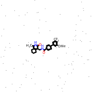 COc1cc(-c2ccc(C(=O)NCc3c4c(c(C)[nH]c3=O)CCCC4)cc2)cc(C(F)(F)F)c1